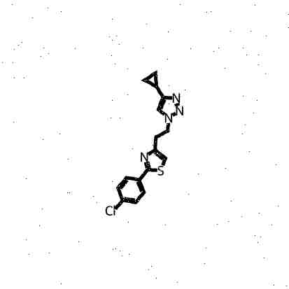 Clc1ccc(-c2nc(CCn3cc(C4CC4)nn3)cs2)cc1